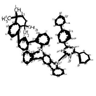 CC1(C)CCC(C)(C)c2c(-c3cccc(-c4ccccc4-n4c5ccccc5c5cc6c7ccccc7n(-c7nc(C8=CC=CCC8)nc(-c8ccc(-c9ccccc9)cc8)n7)c6cc54)c3)cccc21